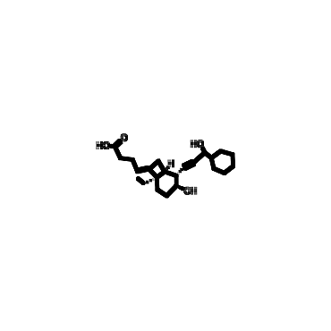 CC[C@@]12CC[C@H](O)[C@@H](C#CC(O)C3CCCCC3)[C@@H]1C/C2=C\CCC(=O)O